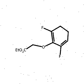 CCOC(=O)COC1=C(F)CCC=C1F